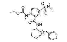 CCOC(=O)N(C)c1ccc(S(=O)(=O)N(C)C)cc1C(=O)NC12CCCC(CC1)N2Cc1ccccc1